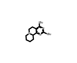 CC(C)(C)c1nc2c(c(C(C)(C)C)n1)CCN1CCCCC21